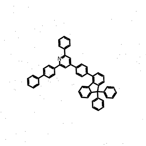 c1ccc(-c2ccc(-c3cc(-c4ccc(-c5cccc6c5-c5ccccc5C6(c5ccccc5)c5ccccc5)cc4)cc(-c4ccccc4)n3)cc2)cc1